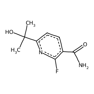 CC(C)(O)c1ccc(C(N)=O)c(F)n1